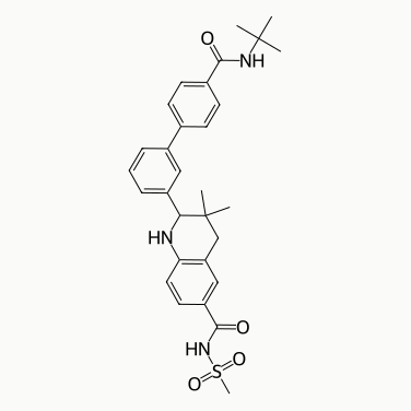 CC(C)(C)NC(=O)c1ccc(-c2cccc(C3Nc4ccc(C(=O)NS(C)(=O)=O)cc4CC3(C)C)c2)cc1